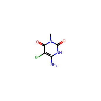 Cn1c(=O)[nH]c(N)c(Br)c1=O